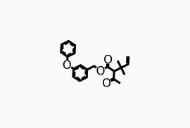 C=CC(C)(C)C(C(C)=O)C(=O)OCc1cccc(Oc2ccccc2)c1